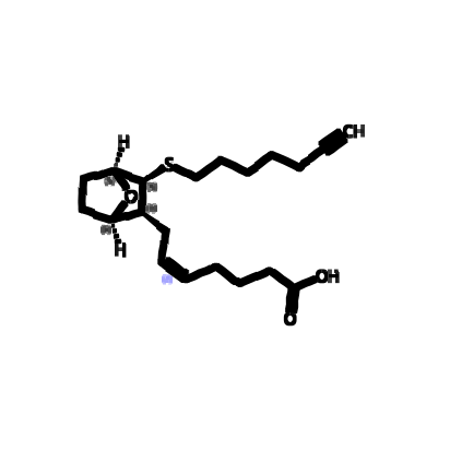 C#CCCCCCS[C@H]1[C@@H](C/C=C\CCCC(=O)O)[C@H]2CC[C@@H]1O2